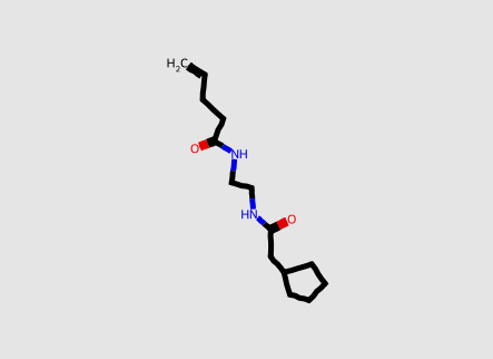 C=CCCC(=O)NCCNC(=O)CC1CCCC1